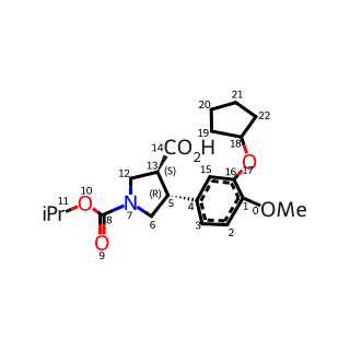 COc1ccc([C@@H]2CN(C(=O)OC(C)C)C[C@H]2C(=O)O)cc1OC1CCCC1